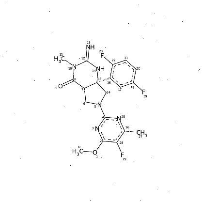 COc1nc(N2CC3C(=O)N(C)C(=N)N[C@@]3(c3cc(F)ccc3F)C2)nc(C)c1F